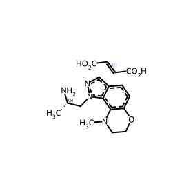 C[C@H](N)Cn1ncc2ccc3c(c21)N(C)CCO3.O=C(O)/C=C/C(=O)O